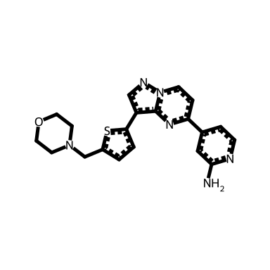 Nc1cc(-c2ccn3ncc(-c4ccc(CN5CCOCC5)s4)c3n2)ccn1